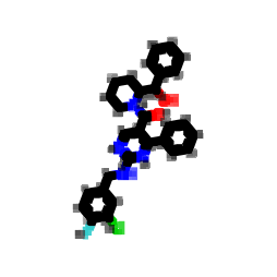 O=C(c1cnc(NCc2ccc(F)c(Cl)c2)nc1-c1ccccc1)N1CCCCC1C(O)c1ccccc1